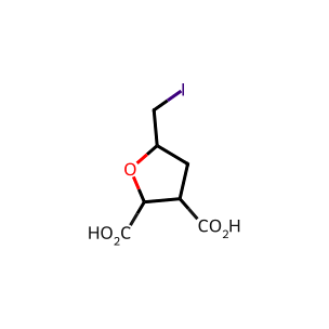 O=C(O)C1CC(CI)OC1C(=O)O